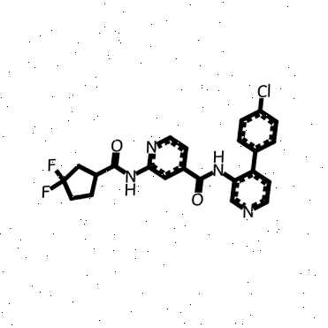 O=C(Nc1cnccc1-c1ccc(Cl)cc1)c1ccnc(NC(=O)C2CCC(F)(F)C2)c1